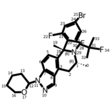 C[C@@H]1Cc2c(ccc3c2cnn3C2CCCCO2)[C@](C)(c2c(F)cc(Br)cc2F)N1CC(C)(C)F